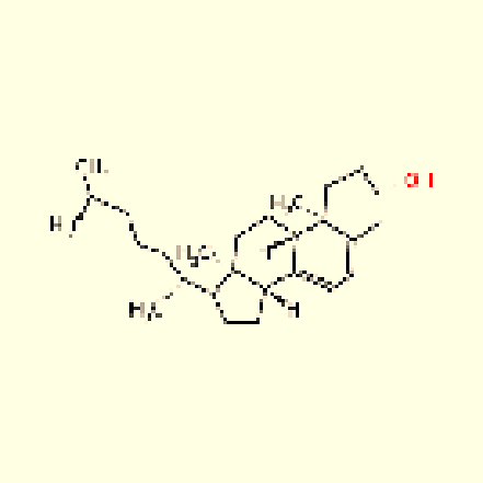 CC(C)CCC[C@@H](C)C1CC[C@H]2C3=CC=C4C[C@@H](O)CC[C@]4(C)[C@H]3CC[C@]12C